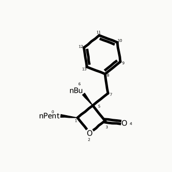 CCCCC[C@@H]1OC(=O)[C@@]1(CCCC)Cc1ccccc1